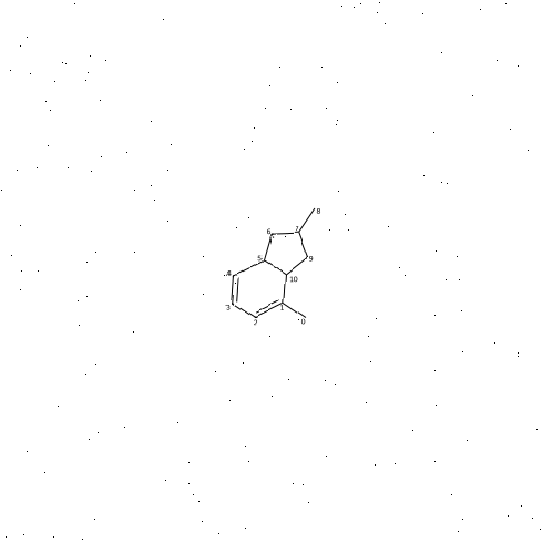 CC1=CC=CC2[C]C(C)CC12